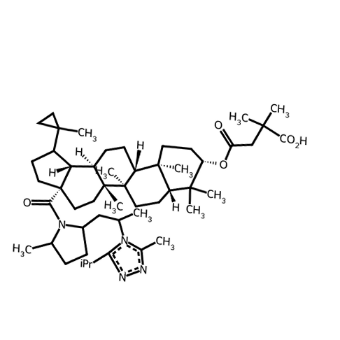 Cc1nnc(C(C)C)n1C(C)CC1CCC(C)N1C(=O)[C@]12CCC(C3(C)CC3)[C@@H]1[C@H]1CC[C@@H]3[C@@]4(C)CC[C@H](OC(=O)CC(C)(C)C(=O)O)C(C)(C)[C@@H]4CC[C@@]3(C)[C@]1(C)CC2